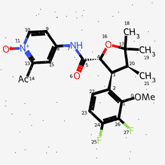 COc1c([C@H]2[C@H](C(=O)Nc3cc[n+]([O-])c(C(C)=O)c3)OC(C)(C)[C@H]2C)ccc(F)c1F